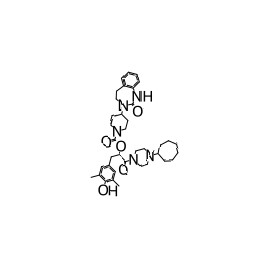 Cc1cc(CC(OC(=O)N2CCC(N3CCc4ccccc4NC3=O)CC2)C(=O)N2CCN(C3CCCCCC3)CC2)cc(C)c1O